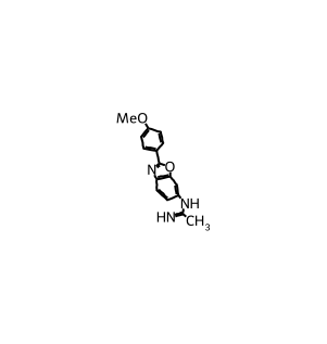 COc1ccc(-c2nc3ccc(NC(C)=N)cc3o2)cc1